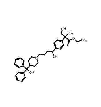 CCOC(=O)C(C)(CO)c1ccc(C(O)CCCN2CCC(C(O)(c3ccccc3)c3ccccc3)CC2)cc1